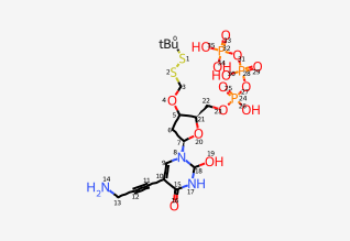 CC(C)(C)SSCOC1C[C@H](N2C=C(C#CCN)C(=O)NC2O)O[C@@H]1COP(=O)(O)OP(=O)(O)OP(=O)(O)O